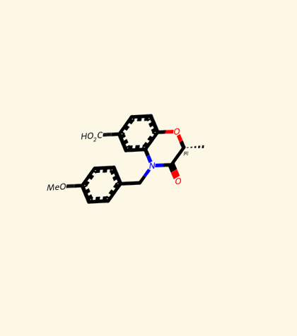 COc1ccc(CN2C(=O)[C@@H](C)Oc3ccc(C(=O)O)cc32)cc1